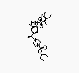 C=N/C(CC)=C(/C)S(=O)(=O)Nc1ccc(C(=C)N2CCN(C(=O)OC(CC)CC)CC2)cc1C